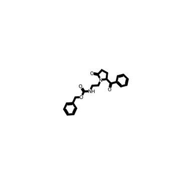 O=C(NCCN1C(=O)CCC1C(=O)c1ccccc1)OCc1ccccc1